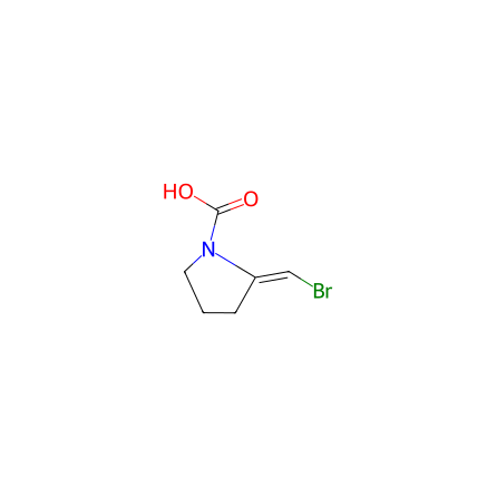 O=C(O)N1CCCC1=CBr